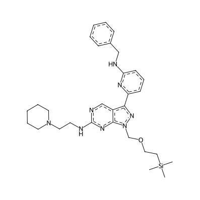 C[Si](C)(C)CCOCn1nc(-c2cccc(NCc3ccccc3)n2)c2cnc(NCCN3CCCCC3)nc21